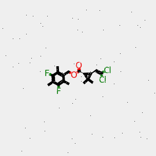 Cc1c(F)c(C)c(COC(=O)[C@@H]2[C@@H](C=C(Cl)Cl)C2(C)C)c(C)c1F